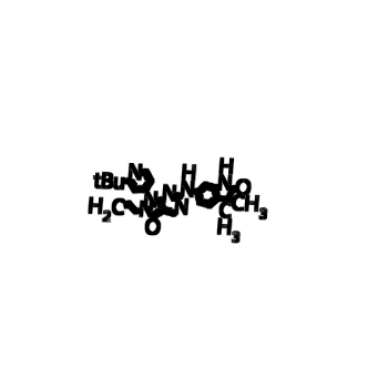 C=CCn1c(=O)c2cnc(Nc3ccc4c(c3)NC(=O)C4(C)C)nc2n1-c1ccnc(C(C)(C)C)c1